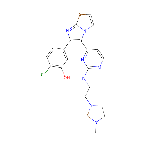 CN1CCN(CCNc2nccc(-c3c(-c4ccc(Cl)c(O)c4)nc4sccn34)n2)S1